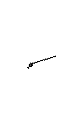 CCCCCCCCCCCCCCCCCCC[n+]1ccc(C(C)C)cc1